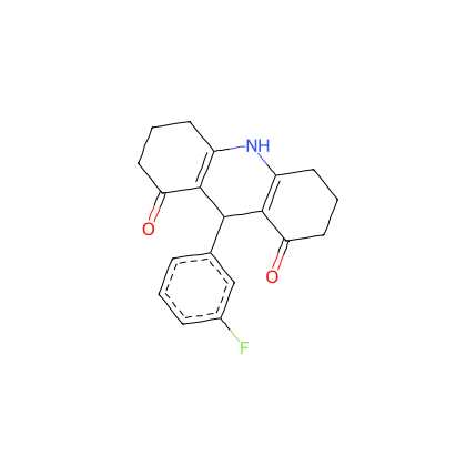 O=C1CCCC2=C1C(c1cccc(F)c1)C1=C(CCCC1=O)N2